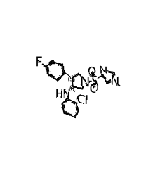 Cn1cnc(S(=O)(=O)N2C[C@H](Nc3ccccc3Cl)[C@@H](c3ccc(F)cc3)C2)c1